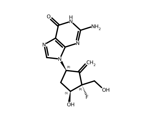 C=C1[C@H](n2cnc3c(=O)[nH]c(N)nc32)C[C@H](O)[C@]1(F)CO